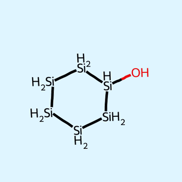 O[SiH]1[SiH2][SiH2][SiH2][SiH2][SiH2]1